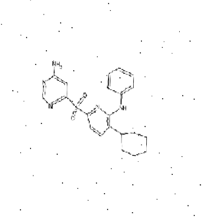 Nc1cc(S(=O)(=O)c2ccc(C3CCCCC3)c(Nc3ccccc3)n2)ncn1